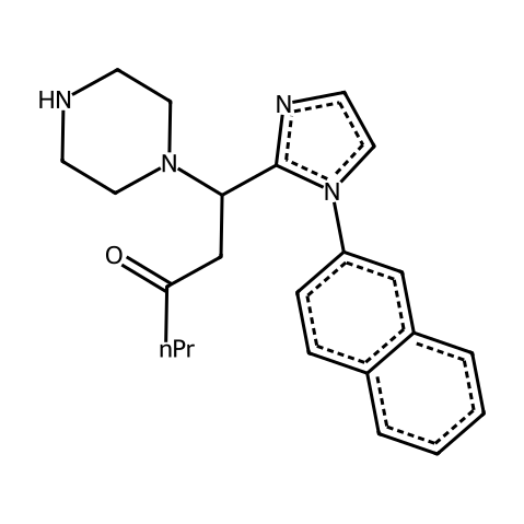 CCCC(=O)CC(c1nccn1-c1ccc2ccccc2c1)N1CCNCC1